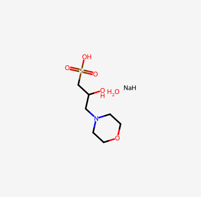 O.O=S(=O)(O)CC(O)CN1CCOCC1.[NaH]